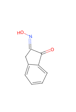 O=C1/C(=N/O)Cc2ccccc21